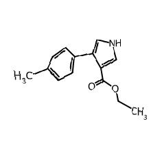 CCOC(=O)c1c[nH]cc1-c1ccc(C)cc1